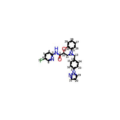 O=C(Nc1ccc(F)cn1)C1CN(Cc2ccc(-n3cccn3)cc2)c2ccccc2O1